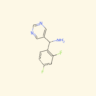 NC(c1cncnc1)c1ccc(F)cc1F